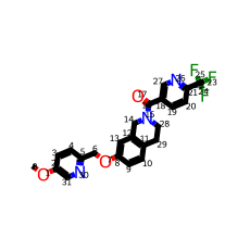 COc1ccc(COc2ccc3c(c2)CN(C(=O)c2ccc(C(F)(F)F)nc2)CC3)nc1